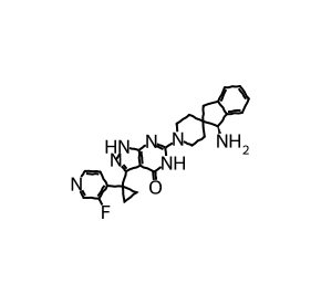 N[C@@H]1c2ccccc2CC12CCN(c1nc3[nH]nc(C4(c5ccncc5F)CC4)c3c(=O)[nH]1)CC2